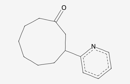 O=C1CCCCCCC(c2ccccn2)C1